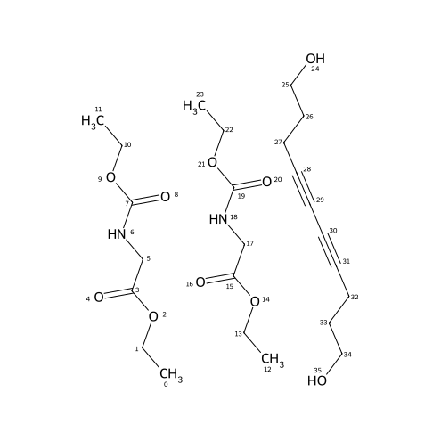 CCOC(=O)CNC(=O)OCC.CCOC(=O)CNC(=O)OCC.OCCCC#CC#CCCCO